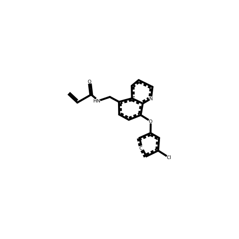 C=CC(=O)NCc1ccc(Oc2cccc(Cl)c2)c2ncccc12